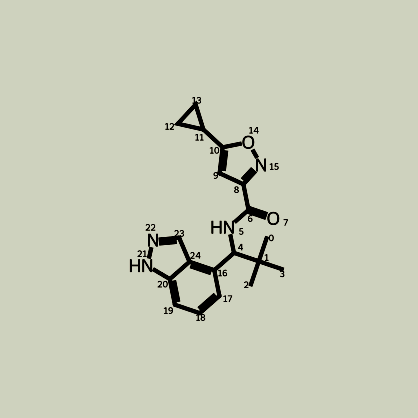 CC(C)(C)C(NC(=O)c1cc(C2CC2)on1)c1cccc2[nH]ncc12